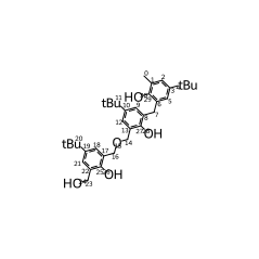 Cc1cc(C(C)(C)C)cc(Cc2cc(C(C)(C)C)cc(COCc3cc(C(C)(C)C)cc(CO)c3O)c2O)c1O